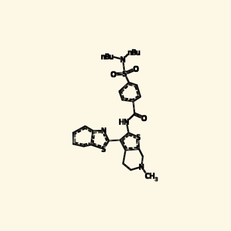 CCCCN(CCCC)S(=O)(=O)c1ccc(C(=O)Nc2sc3c(c2-c2nc4ccccc4s2)CCN(C)C3)cc1